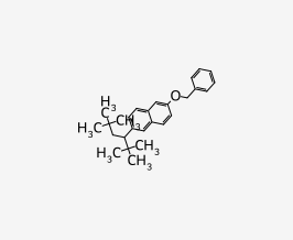 CC(C)(C)CC(c1ccc2cc(OCc3ccccc3)ccc2c1)C(C)(C)C